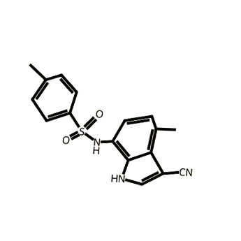 Cc1ccc(S(=O)(=O)Nc2ccc(C)c3c(C#N)c[nH]c23)cc1